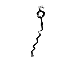 O=[N+]([O-])c1ccc(C#CCOCCCCCCBr)nc1